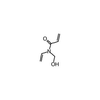 C=CC(=O)N(C=C)CO